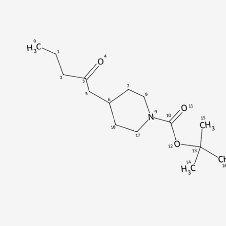 CCCC(=O)CC1CCN(C(=O)OC(C)(C)C)CC1